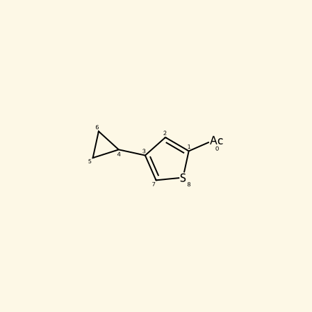 CC(=O)c1cc(C2CC2)cs1